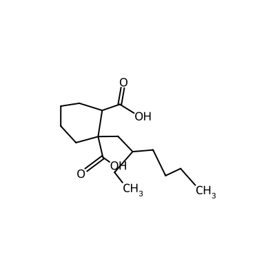 CCCCC(CC)CC1(C(=O)O)CCCCC1C(=O)O